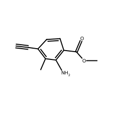 C#Cc1ccc(C(=O)OC)c(N)c1C